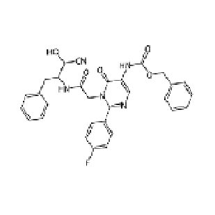 N#CC(O)C(Cc1ccccc1)NC(=O)Cn1c(-c2ccc(F)cc2)ncc(NC(=O)OCc2ccccc2)c1=O